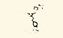 CC(=O)Nc1nc(CCc2ccc(NC(NC(=O)O)(N(C(=O)O)C(C)(C)C)C(C)(C)C)cc2)c(CN2CC[C@@H](C(=O)N(C)C)C2)s1